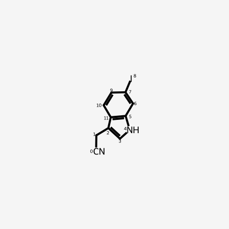 N#CCc1c[nH]c2cc(I)ccc12